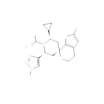 Cn1cc([C@@H]2C[C@]3(C[C@H](C4CC4)N2C(O)C(F)(F)F)OCCc2cc(Cl)sc23)nn1